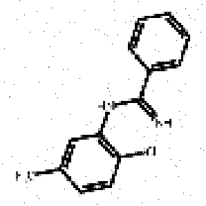 N=C(Nc1cc(C(F)(F)F)ccc1Cl)c1ccccc1